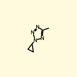 Cc1nnn(C2CC2)n1